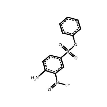 Nc1ccc(S(=O)(=O)Oc2ccccc2)cc1[N+](=O)[O-]